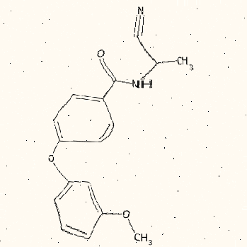 COc1cccc(Oc2ccc(C(=O)NC(C)C#N)cc2)c1